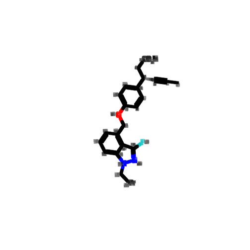 CC#C[C@@H](CC(=O)O)c1ccc(OCc2cccc3c2c(F)nn3CC(C)C)cc1